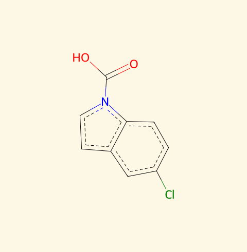 O=C(O)n1ccc2cc(Cl)ccc21